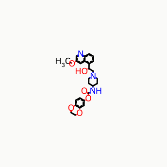 COc1cnc2cccc(C(O)CN3CCC(NC(=O)Oc4ccc5c(c4)OCCO5)CC3)c2c1